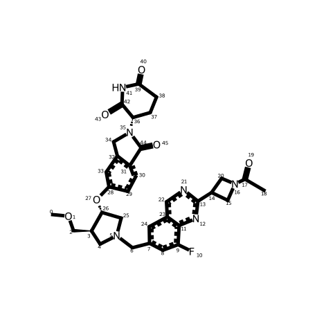 COC[C@@H]1CN(Cc2cc(F)c3nc(C4CN(C(C)=O)C4)ncc3c2)C[C@H]1Oc1ccc2c(c1)CN([C@H]1CCC(=O)NC1=O)C2=O